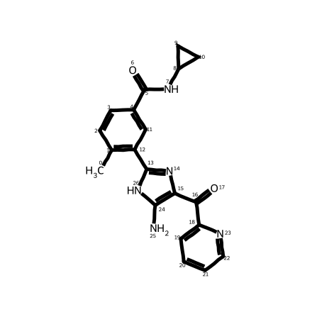 Cc1ccc(C(=O)NC2CC2)cc1-c1nc(C(=O)c2ccccn2)c(N)[nH]1